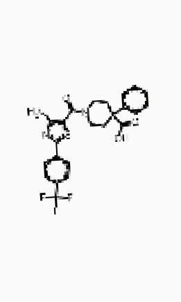 Cc1nc(-c2ccc(C(F)(F)F)cc2)sc1C(=O)N1CCC(C(=O)O)(c2ccccc2)CC1